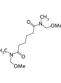 COCN(C)C(=O)CCCCC(=O)N(C)COC